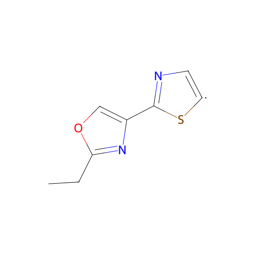 CCc1nc(-c2nc[c]s2)co1